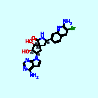 Nc1nc2cc([C@H]3C[C@]4(C[C@@H](n5ccc6c(N)ncnc65)[C@H](O)[C@@H]4O)C(=O)N3)ccc2cc1Br